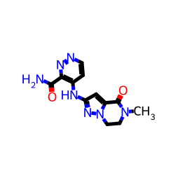 CN1CCn2nc(Nc3ccnnc3C(N)=O)cc2C1=O